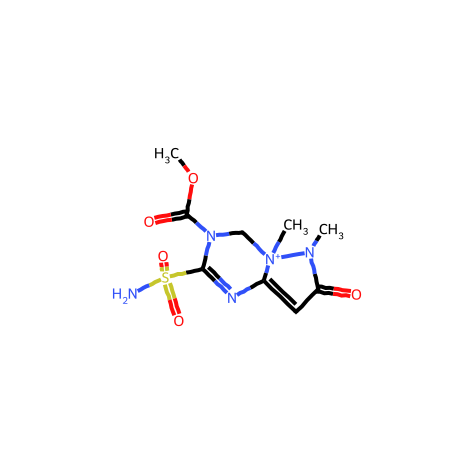 COC(=O)N1C[N+]2(C)C(=CC(=O)N2C)N=C1S(N)(=O)=O